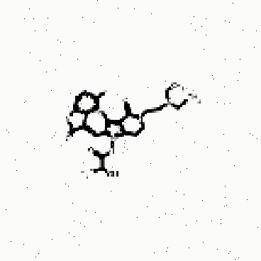 CCN(CC)CCN1CCc2c(c(C)c(C=C3C(=O)Nc4ccc(F)cc43)n2OC(=O)C(C)O)C1=O